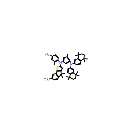 Cc1cc(N(c2ccc3c(c2)C(C)(C)CCC3(C)C)c2ccc3c(c2)C(C)(C)CCC3(C)C)cc(N(c2cc3c(s2)-c2cc(C(C)(C)C)ccc2C3(C)C)c2ccc(C(C)(C)C)cc2C)c1